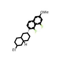 CCC1CCC2C[C@H](c3ccc4cc(OC)cc(F)c4c3F)CC[C@@H]2C1